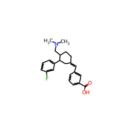 CN(C)CC1CC/C(=C/c2cccc(C(=O)O)c2)CC1c1cccc(F)c1